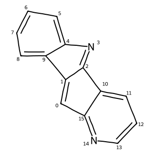 C1=C2C(=Nc3ccccc32)c2cccnc21